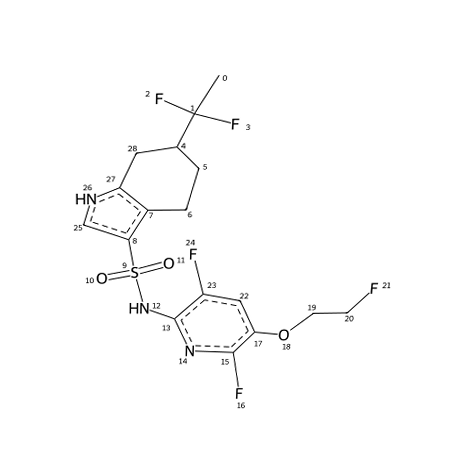 CC(F)(F)C1CCc2c(S(=O)(=O)Nc3nc(F)c(OCCF)cc3F)c[nH]c2C1